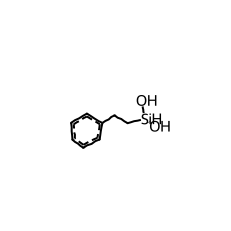 O[SiH](O)CCc1ccccc1